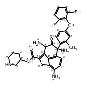 Cc1cc(Oc2c(F)cccc2F)ccc1C1(N)C(=O)C(N)c2c(C(=O)NC3CCCNC3)sc3c(N)ccc1c23